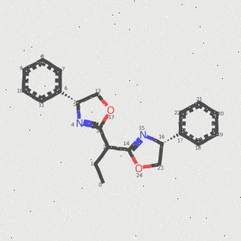 CCC(C1=N[C@H](c2ccccc2)CO1)C1=N[C@H](c2ccccc2)CO1